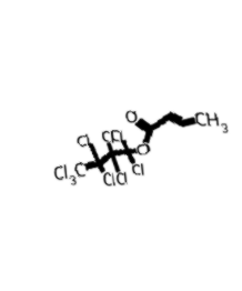 C/C=C/C(=O)OC(Cl)(Cl)C(Cl)(Cl)C(Cl)(Cl)C(Cl)(Cl)Cl